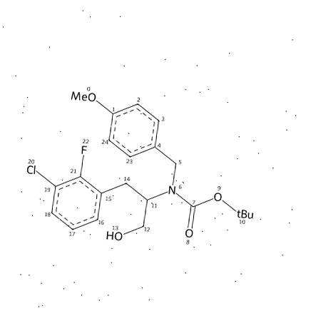 COc1ccc(CN(C(=O)OC(C)(C)C)C(CO)Cc2cccc(Cl)c2F)cc1